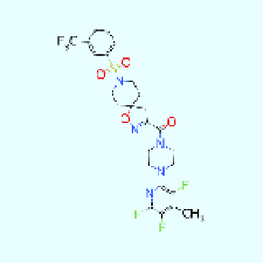 Cc1c(F)c(F)nc(N2CCN(C(=O)C3=NOC4(CCN(S(=O)(=O)c5cccc(C(F)(F)F)c5)CC4)C3)CC2)c1F